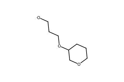 [O]CCCOC1CCCOC1